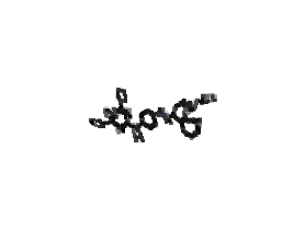 CC[n+]1ccc(/N=N/c2ccc(Nc3nc(Cl)nc(Cl)n3)cc2)c2ccccc21